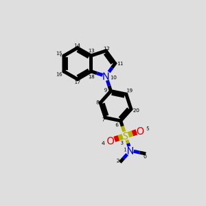 CN(C)S(=O)(=O)c1ccc(-n2ccc3c[c]ccc32)cc1